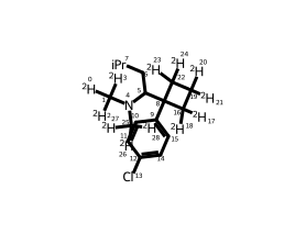 [2H]C([2H])([2H])N(C(CC(C)C)C1(c2ccc(Cl)cc2)C([2H])([2H])C([2H])([2H])C1([2H])[2H])C([2H])([2H])[2H]